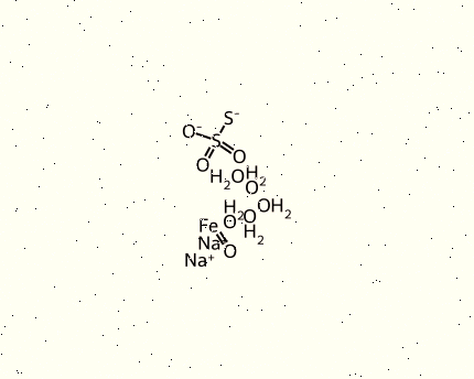 O.O.O.O.O.O=S(=O)([O-])[S-].[Na+].[Na+].[O]=[Fe]